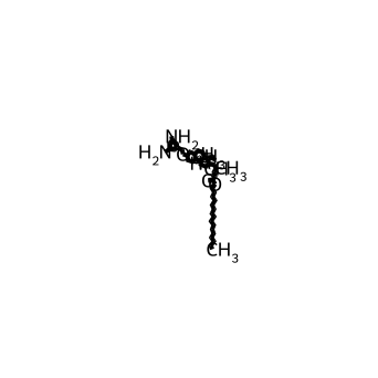 CCCCCCCCCCCCCCCCOC(=O)CC[C@@H](C)[C@H]1CC[C@H]2[C@@H]3CCC4CC(OCc5cc(N)cc(N)c5)CC[C@]4(C)[C@H]3CC[C@]12C